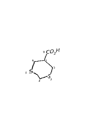 O=C(O)C1CSCSC1